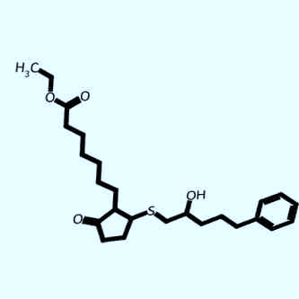 CCOC(=O)CCCCCCC1C(=O)CCC1SCC(O)CCCc1ccccc1